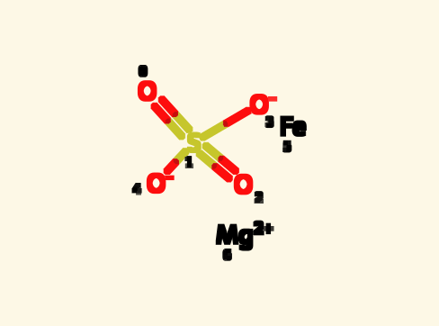 O=S(=O)([O-])[O-].[Fe].[Mg+2]